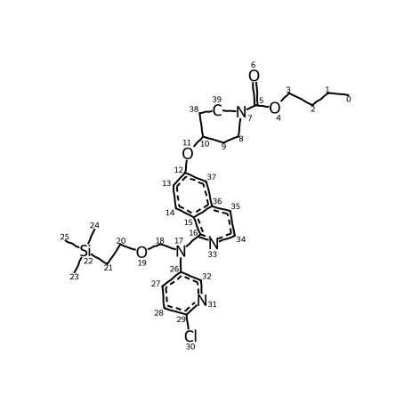 CCCCOC(=O)N1CCC(Oc2ccc3c(N(COCC[Si](C)(C)C)c4ccc(Cl)nc4)nccc3c2)CC1